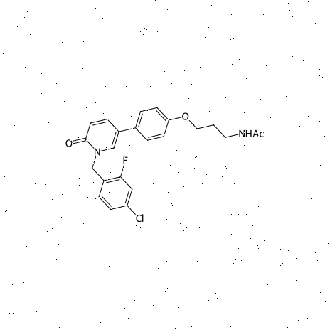 CC(=O)NCCCOc1ccc(-c2ccc(=O)n(Cc3ccc(Cl)cc3F)c2)cc1